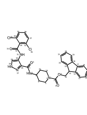 O=C(NC1CCN(C(=O)OCC2c3ccccc3-c3ccccc32)CC1)c1n[nH]cc1NC(=O)c1c(Cl)cccc1Cl